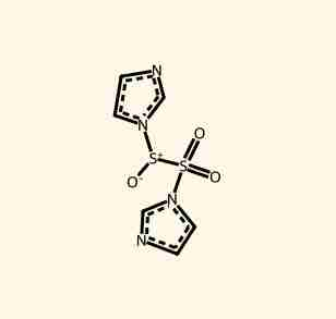 O=S(=O)(n1ccnc1)[S+]([O-])n1ccnc1